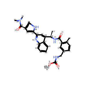 Cc1ccc(CNC(=O)OC(C)(C)C)cc1C(=O)N[C@H](C)c1cc(-c2cc(C(=O)N(C)C)c[nH]2)nc2ccccc12